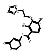 O=C1C=C(OC(=O)c2ccc(Br)c(OCCn3ncnn3)c2Br)CCC1